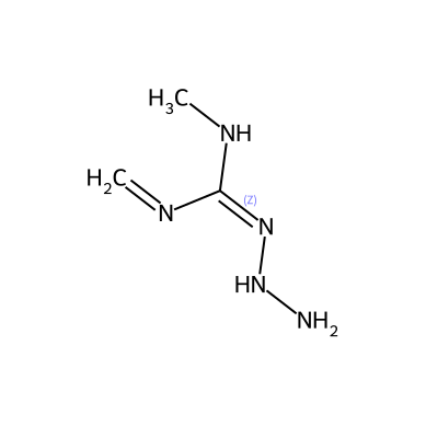 C=N/C(=N\NN)NC